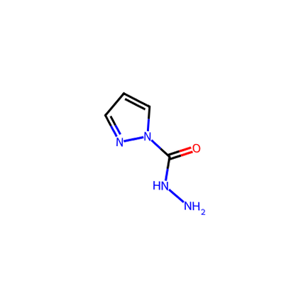 NNC(=O)n1cccn1